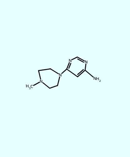 CN1CCN(c2cc(N)ncn2)CC1